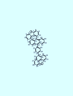 c1ccc2c(c1)oc1cccc(-c3c4ccccc4c(-c4ccc(-c5cc6cccc7oc8cccc5c8c67)cc4)c4ccccc34)c12